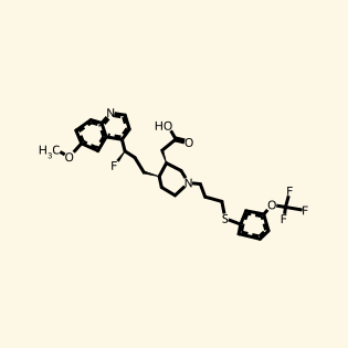 COc1ccc2nccc([C@H](F)CC[C@@H]3CCN(CCCSc4cccc(OC(F)(F)F)c4)C[C@@H]3CC(=O)O)c2c1